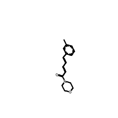 Cc1cccc(/C=C/C=C/C(=O)N2CCOCC2)c1